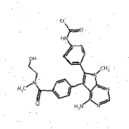 CCC(=O)Nc1ccc(-c2c(-c3ccc(C(=O)N(C)CCO)cc3)c3c(N)ncnc3n2C)cc1